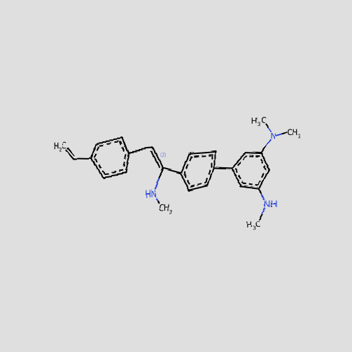 C=Cc1ccc(/C=C(\NC)c2ccc(-c3cc(NC)cc(N(C)C)c3)cc2)cc1